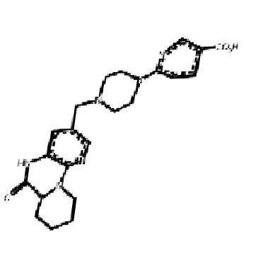 O=C(O)c1ccc(N2CCN(Cc3cnc4c(c3)NC(=O)C3CCCCN43)CC2)nc1